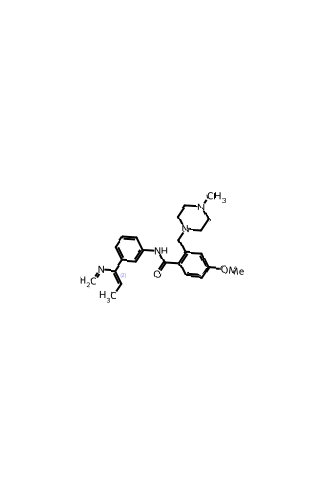 C=N/C(=C\C)c1cccc(NC(=O)c2ccc(OC)cc2CN2CCN(C)CC2)c1